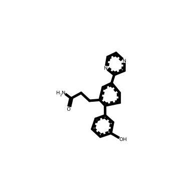 NC(=O)CCc1cc(-c2cnccn2)ccc1-c1cccc(O)c1